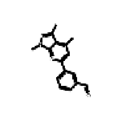 Cc1cc(-c2cccc(C=O)c2)nc2c1c(C)nn2C